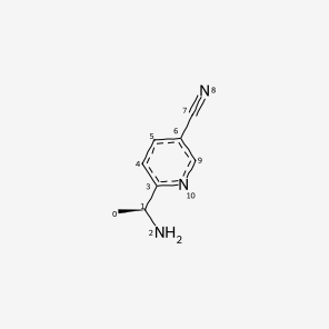 C[C@H](N)c1ccc(C#N)cn1